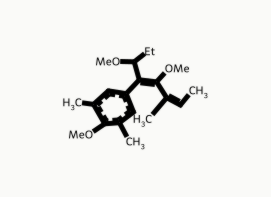 C/C=C(C)\C(OC)=C(/c1cc(C)c(OC)c(C)c1)C(CC)OC